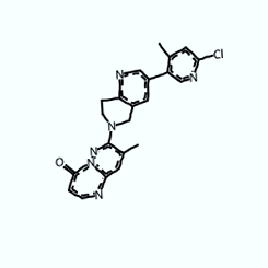 Cc1cc(Cl)ncc1-c1cnc2c(c1)CN(c1nn3c(=O)ccnc3cc1C)CC2